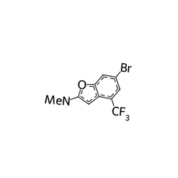 CNc1cc2c(C(F)(F)F)cc(Br)cc2o1